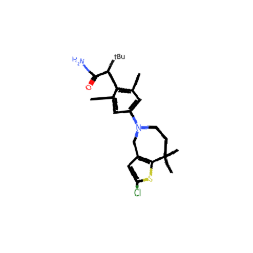 Cc1cc(N2CCC(C)(C)c3sc(Cl)cc3C2)cc(C)c1C(C(N)=O)C(C)(C)C